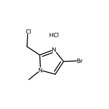 Cl.Cn1cc(Br)nc1CCl